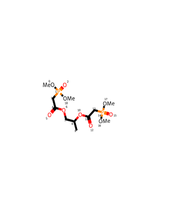 COP(=O)(CC(=O)OCC(C)OC(=O)CP(=O)(OC)OC)OC